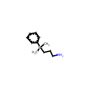 C[Si](C)(CCCN)c1ccccc1